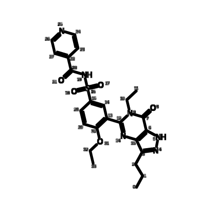 CCCc1n[nH]c2c(=O)n(CC)c(-c3cc(S(=O)(=O)NC(=O)c4ccncc4)ccc3OCC)nc12